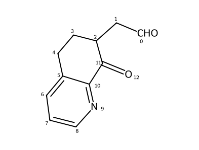 O=CCC1CCc2cccnc2C1=O